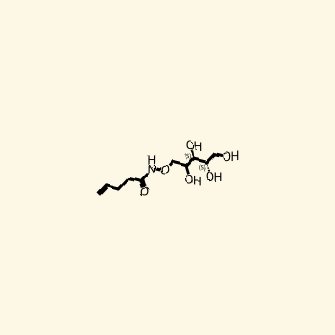 C=CCCC(=O)NOCC(O)[C@@H](O)[C@@H](O)CO